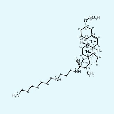 C[C@H](C(=O)NCCCNCCCCCCCN)[C@H]1CC[C@H]2[C@@H]3CC=C4C[C@@H](OS(=O)(=O)O)CC[C@]4(C)[C@H]3CC[C@]12C